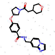 O=C(NCc1ccn2ccnc2c1)c1ccc(O[C@H]2CCN(C(=O)CC3CCOCC3)C2)cc1